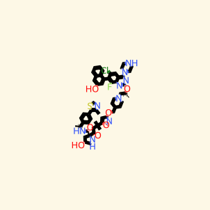 Cc1ncsc1-c1ccc([C@H](C)NC(=O)[C@]2(C(=O)CC(C)(C)c3cc(OCC4CCN(C[C@@H](C)Oc5nc(N6CCNCC6)c6cc(Cl)c(-c7cc(O)cc8ccccc78)c(F)c6n5)CC4)no3)CC(O)CN2)cc1